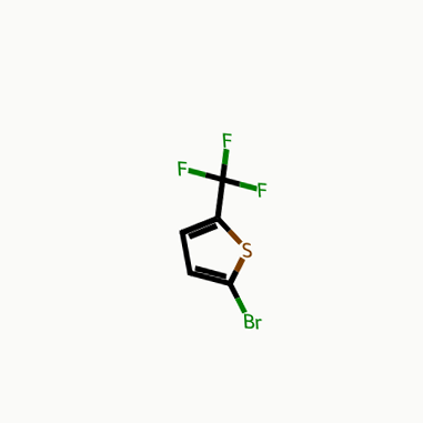 FC(F)(F)c1ccc(Br)s1